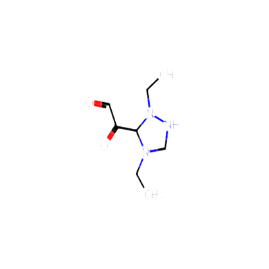 CCN1CNN(CC)C1C(=O)C=O